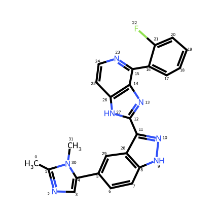 Cc1ncc(-c2ccc3[nH]nc(-c4nc5c(-c6ccccc6F)nccc5[nH]4)c3c2)n1C